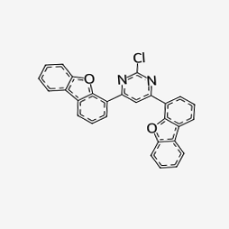 Clc1nc(-c2cccc3c2oc2ccccc23)cc(-c2cccc3c2oc2ccccc23)n1